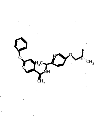 C=C(NC(C)c1ccc(OC[C@@H](C)F)cn1)c1ccc(Oc2ccccc2)nc1